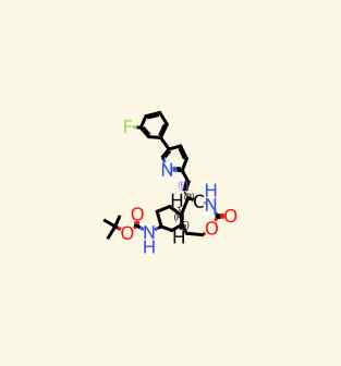 CC(C)(C)OC(=O)NC1CC[C@@H]2[C@H](CCOC(=O)NC[C@H]2/C=C/c2ccc(-c3cccc(F)c3)cn2)C1